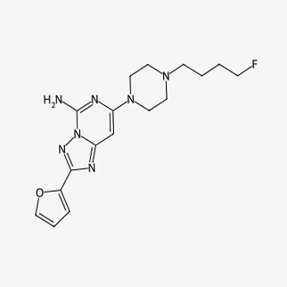 Nc1nc(N2CCN(CCCCF)CC2)cc2nc(-c3ccco3)nn12